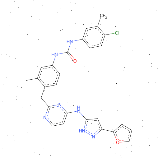 Cc1cc(NC(=O)Nc2ccc(Cl)c(C(F)(F)F)c2)ccc1Cc1nccc(Nc2cc(-c3ccco3)n[nH]2)n1